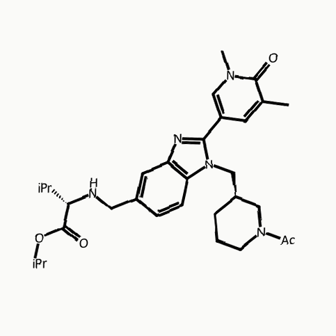 CC(=O)N1CCC[C@@H](Cn2c(-c3cc(C)c(=O)n(C)c3)nc3cc(CN[C@H](C(=O)OC(C)C)C(C)C)ccc32)C1